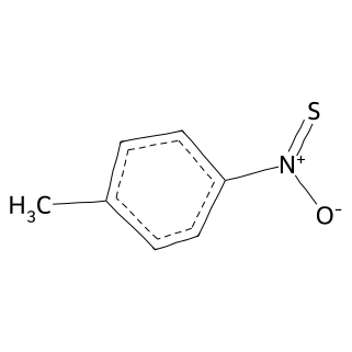 Cc1ccc([N+]([O-])=S)cc1